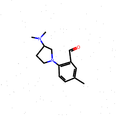 Cc1ccc(N2CCC(N(C)C)C2)c(C=O)c1